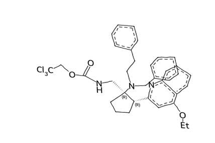 CCOc1cc([C@@H]2CCC[C@@]2(CNC(=O)OCC(Cl)(Cl)Cl)N(CCc2ccccc2)Cc2ccccc2)nc2ccccc12